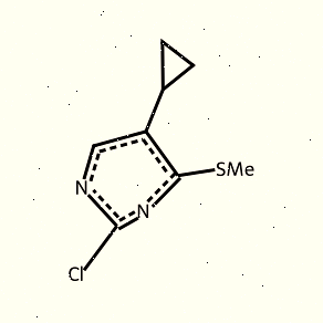 CSc1nc(Cl)ncc1C1CC1